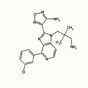 CC(C)(CN)Cn1c(-c2nonc2N)nc2c(-c3cccc(Cl)c3)nccc21